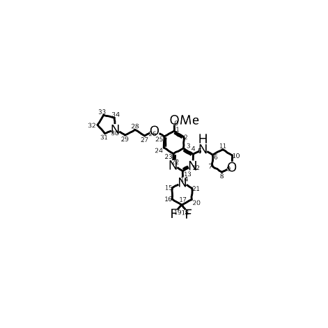 COc1cc2c(NC3CCOCC3)nc(N3CCC(F)(F)CC3)nc2cc1OCCCN1CCCC1